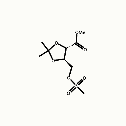 COC(=O)[C@H]1OC(C)(C)O[C@@H]1COS(C)(=O)=O